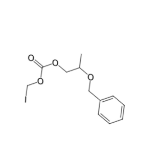 CC(COC(=O)OCI)OCc1ccccc1